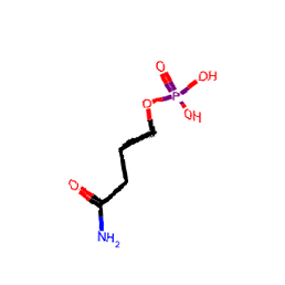 NC(=O)CCCOP(=O)(O)O